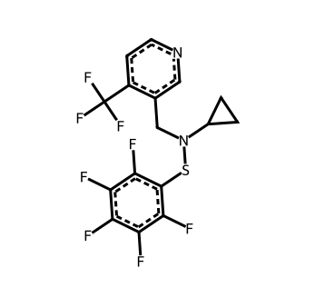 Fc1c(F)c(F)c(SN(Cc2cnccc2C(F)(F)F)C2CC2)c(F)c1F